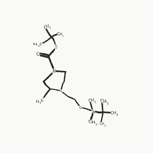 CC1CN(C(=O)OC(C)(C)C)CCN1CCO[Si](C)(C)C(C)(C)C